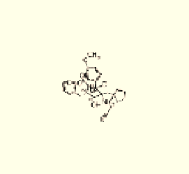 COc1ccc(S(=O)(=O)C(N)(CC2(CCC#N)CCCC2)[C@H](O)[C@H](Cc2ccccc2)NC(=O)O)cc1